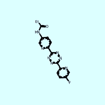 CCC(=O)Nc1ccc(-c2nnc(-c3ccc(F)cn3)nn2)nc1